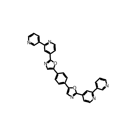 c1cncc(-c2cc(-c3ncc(-c4ccc(-c5cnc(-c6ccnc(-c7cccnc7)c6)o5)cc4)o3)ccn2)c1